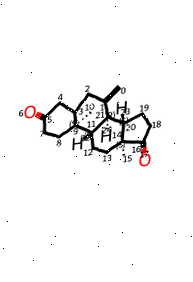 C=C1CC2CC(=O)CC[C@]2(C)[C@H]2CC[C@]3(C)C(=O)CC[C@H]3[C@H]12